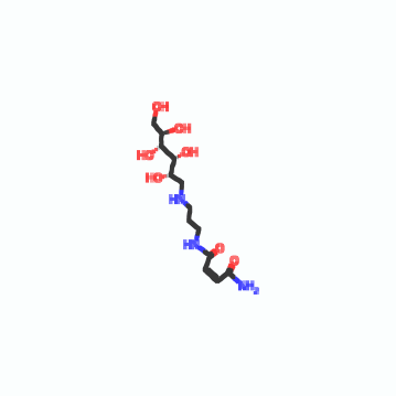 NC(=O)/C=C\C(=O)NCCCNC[C@H](O)[C@@H](O)[C@H](O)[C@H](O)CO